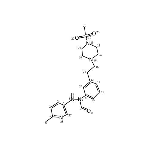 Cc1ccc(NN(C=O)c2cccc(CCN3CCN(S(C)(=O)=O)CC3)c2)cn1